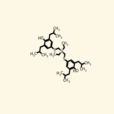 CC[Si](CC)(CSc1cc(CC(C)C)c(O)c(CC(C)C)c1)CSc1cc(CC(C)C)c(O)c(CC(C)C)c1